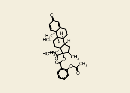 CC(=O)Oc1ccccc1C(=O)O[C@]1(C(=O)CO)[C@H](C)C[C@H]2[C@@H]3CCC4=CC(=O)C=C[C@]4(C)[C@@]3(F)[C@@H](O)C[C@@]21C